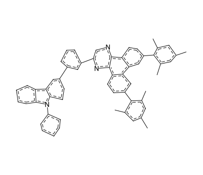 Cc1cc(C)c(-c2ccc3c(c2)c2cc(-c4c(C)cc(C)cc4C)ccc2c2nc(-c4cccc(-c5ccc6c(c5)c5ccccc5n6-c5ccccc5)c4)cnc32)c(C)c1